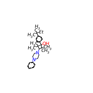 CCC(C)(C)c1ccc(C2(O)C(C)(C)C(N3CCN(c4ccccc4)CC3)C2(C)C)cc1